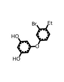 CCc1ccc(Oc2cc(O)cc(O)c2)cc1Br